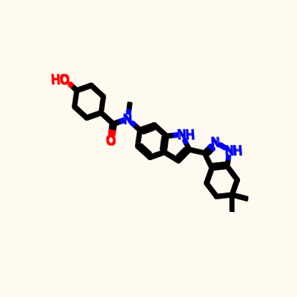 CN(C(=O)C1CCC(O)CC1)c1ccc2cc(-c3n[nH]c4c3CCC(C)(C)C4)[nH]c2c1